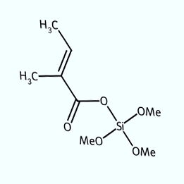 C/C=C(\C)C(=O)O[Si](OC)(OC)OC